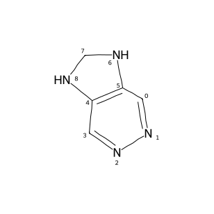 c1nncc2c1NCN2